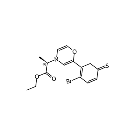 CCOC(=O)[C@@H](C)N1C=COC(C2=C(Br)C=CC(=S)C2)=C1